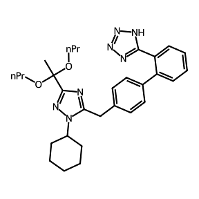 CCCOC(C)(OCCC)c1nc(Cc2ccc(-c3ccccc3-c3nnn[nH]3)cc2)n(C2CCCCC2)n1